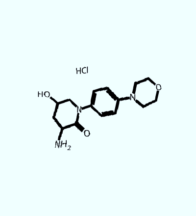 Cl.NC1CC(O)CN(c2ccc(N3CCOCC3)cc2)C1=O